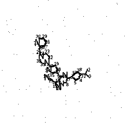 CC(C)c1ccc(-c2cn3ncc(C#N)c3c(-c3ccc(N4CCN(Cc5ccccn5)CC4)nc3)n2)cc1